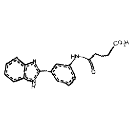 O=C(O)CCC(=O)Nc1cccc(-c2nc3ccccc3[nH]2)c1